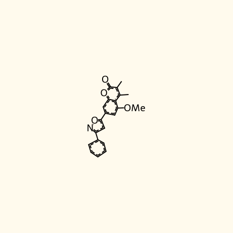 COc1cc(-c2cc(-c3ccccc3)no2)cc2oc(=O)c(C)c(C)c12